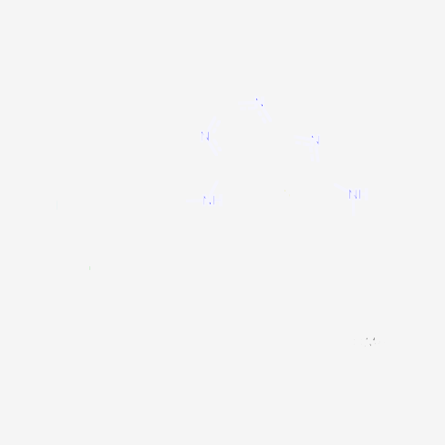 COc1ccc(Nc2nc3ncnc(Nc4ccc(F)c(Cl)c4)c3s2)cc1